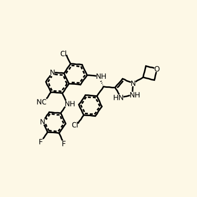 N#Cc1cnc2c(Cl)cc(N[C@H](C3=CN(C4COC4)NN3)c3ccc(Cl)cc3)cc2c1Nc1cnc(F)c(F)c1